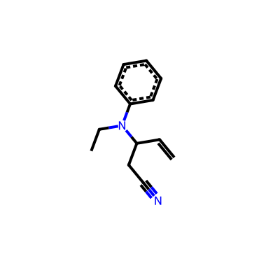 C=CC(CC#N)N(CC)c1ccccc1